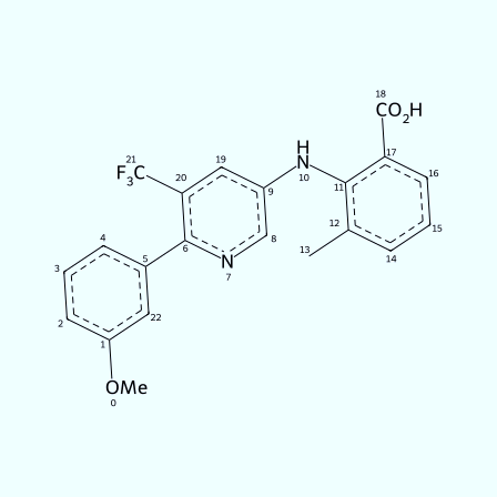 COc1cccc(-c2ncc(Nc3c(C)cccc3C(=O)O)cc2C(F)(F)F)c1